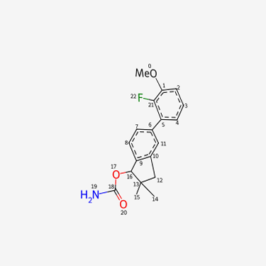 COc1cccc(-c2ccc3c(c2)CC(C)(C)C3OC(N)=O)c1F